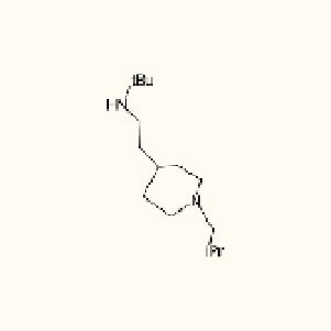 CC(C)CN1CCC(CCNC(C)(C)C)CC1